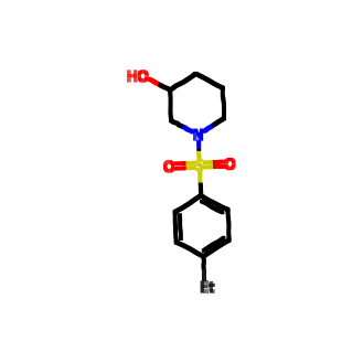 CCc1ccc(S(=O)(=O)N2CCCC(O)C2)cc1